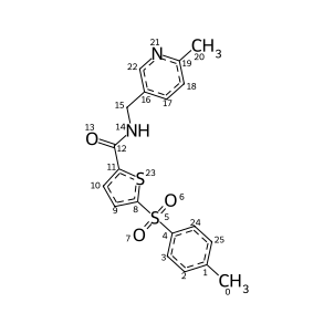 Cc1ccc(S(=O)(=O)c2ccc(C(=O)NCc3ccc(C)nc3)s2)cc1